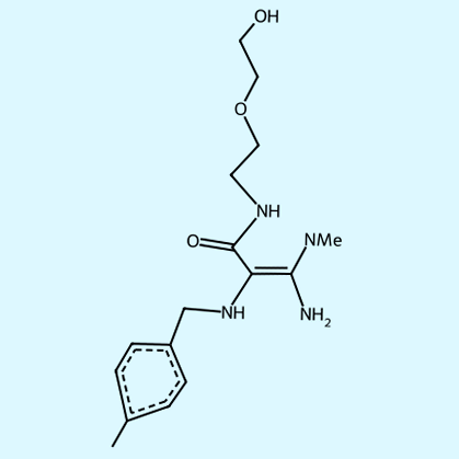 CN/C(N)=C(/NCc1ccc(C)cc1)C(=O)NCCOCCO